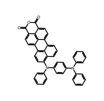 O=C1OC(=O)c2ccc3c4ccc(N(c5ccccc5)c5ccc(N(c6ccccc6)c6ccccc6)cc5)c5cccc(c6ccc1c2c63)c54